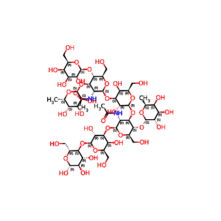 CC(=O)N[C@H]1[C@H](O[C@H]2[C@@H](O)[C@@H](CO)O[C@@H](O[C@H]3[C@H](O)[C@@H](O)[C@H](O)O[C@@H]3CO)[C@@H]2O)O[C@H](CO)[C@@H](O[C@@H]2O[C@@H](C)[C@@H](O)[C@@H](O)[C@@H]2O)[C@@H]1O[C@@H]1O[C@H](CO)[C@H](O)[C@H](O[C@@H]2O[C@H](CO)[C@@H](O[C@@H]3O[C@H](CO)[C@H](O)[C@H](O)[C@H]3O)[C@H](O[C@@H]3O[C@@H](C)[C@@H](O)[C@@H](O)[C@@H]3O)[C@H]2NC(C)=O)[C@H]1O